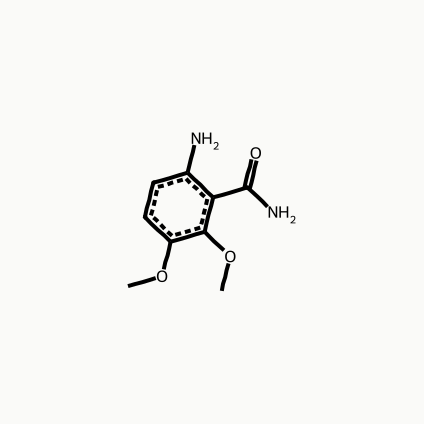 COc1ccc(N)c(C(N)=O)c1OC